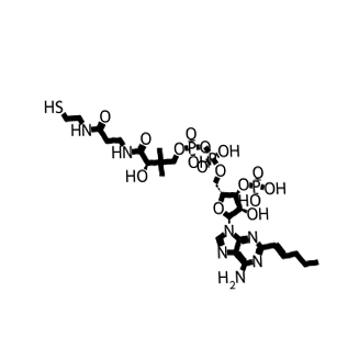 CCCC=Cc1nc(N)c2ncn([C@@H]3O[C@H](COP(=O)(O)OP(=O)(O)OCC(C)(C)[C@@H](O)C(=O)NCCC(=O)NCCS)[C@@H](OP(=O)(O)O)[C@H]3O)c2n1